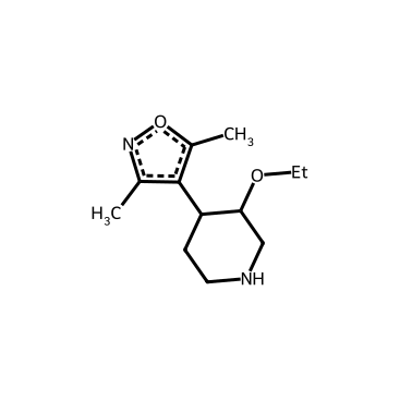 CCOC1CNCCC1c1c(C)noc1C